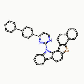 c1ccc(-c2ccc(-c3ccnc(-n4c5ccccc5c5ccc6sc7c8ccccc8ccc7c6c54)n3)cc2)cc1